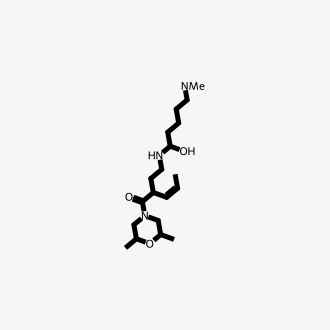 C/C=C\C(CCNC(O)CCCCNC)C(=O)N1CC(C)OC(C)C1